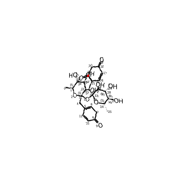 C[C@@H]1O[C@@](CC2=CCC(=O)C=C2)(O[C@]2(CC3C=CC(=O)CC3=O)O[C@@H](C)[C@H](O)[C@@H](O)[C@H]2O)[C@H](O)[C@H](O)[C@H]1O